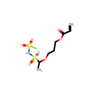 C=CC(=O)OCCCOC(C)S(=O)(=O)NS(=O)(=O)F